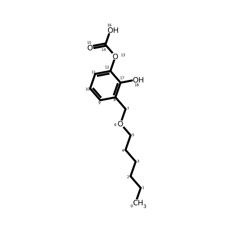 CCCCCCOCc1cccc(OC(=O)O)c1O